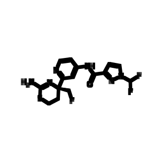 NC1=N[C@](CF)(c2cc(NC(=O)c3ccn(C(F)F)n3)ccn2)CCS1